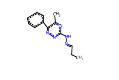 CCC=NNc1nnc(-c2ccccc2)c(C)n1